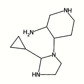 NC1CNCCC1N1CCNC1C1CC1